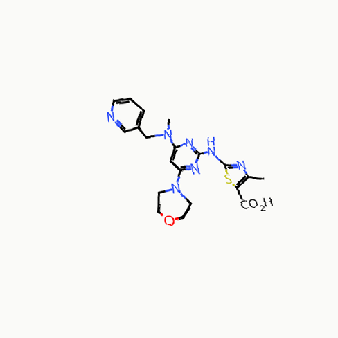 Cc1nc(Nc2nc(N(C)Cc3cccnc3)cc(N3CCOCC3)n2)sc1C(=O)O